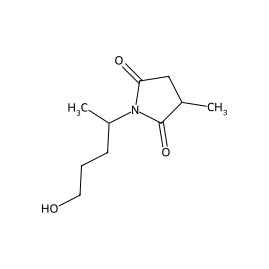 CC1CC(=O)N(C(C)CCCO)C1=O